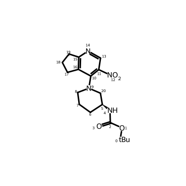 CC(C)(C)OC(=O)N[C@H]1CCCN(c2c([N+](=O)[O-])cnc3c2CC[CH]3)C1